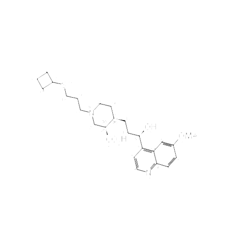 COc1ccc2nccc([C@H](O)CC[C@@H]3CCN(CCCSC4CCC4)C[C@@H]3C(=O)O)c2c1